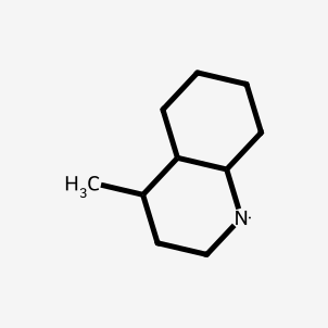 CC1CC[N]C2CCCCC12